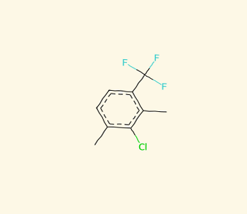 Cc1ccc(C(F)(F)F)c(C)c1Cl